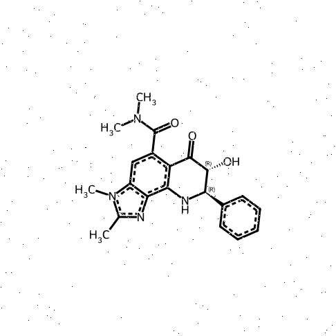 Cc1nc2c3c(c(C(=O)N(C)C)cc2n1C)C(=O)[C@H](O)[C@@H](c1ccccc1)N3